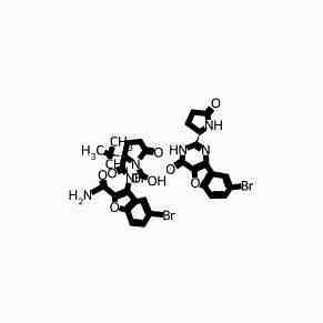 CC(C)(C)[C@]1(C(=O)Nc2c(C(N)=O)oc3ccc(Br)cc23)CCC(=O)N1C(=O)O.O=C1CC[C@@H](c2nc3c(oc4ccc(Br)cc43)c(=O)[nH]2)N1